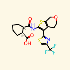 O=C(O)[C@H]1CCCC[C@H]1C(=O)Nc1sc2c(c1-c1nc(C(F)(F)F)cs1)CCOC2